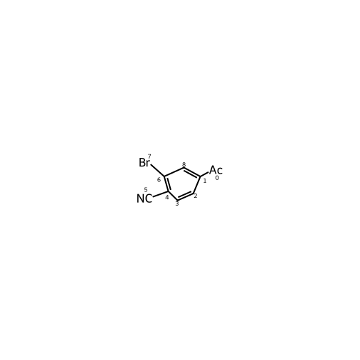 CC(=O)c1ccc(C#N)c(Br)c1